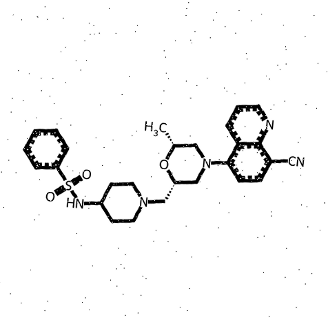 C[C@@H]1CN(c2ccc(C#N)c3ncccc23)C[C@H](CN2CCC(NS(=O)(=O)c3ccccc3)CC2)O1